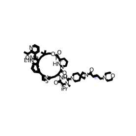 CCn1c(-c2cccnc2[C@H](C)OC)c2c3cc(ccc31)-c1csc(n1)C[C@H](NC(=O)[C@H](C(C)C)N(C)C(=O)N1CCC3(CC1)CN(C(=O)/C=C/CN1CCOCC1)C3)C(=O)N1CCC[C@H](N1)C(=O)OCC(C)(C)C2